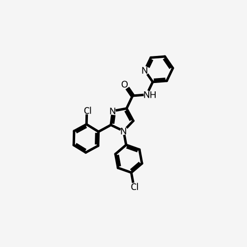 O=C(Nc1ccccn1)c1cn(-c2ccc(Cl)cc2)c(-c2ccccc2Cl)n1